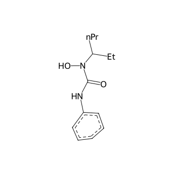 CCCC(CC)N(O)C(=O)Nc1ccccc1